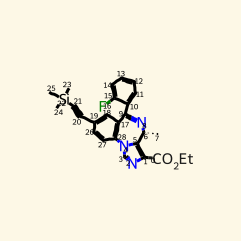 CCOC(=O)c1ncn2c1[C@@H](C)N=C(c1ccccc1F)c1cc(C#C[Si](C)(C)C)ccc1-2